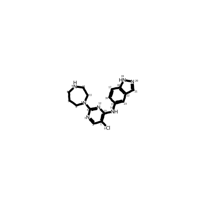 Clc1cnc(N2CCCNCC2)nc1Nc1ccc2[nH]ncc2c1